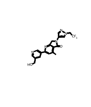 Cc1cc(-c2cncc(CO)c2)nc2c1C(=O)N(c1cnn(CC(F)(F)F)c1)C2